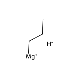 CC[CH2][Mg+].[H-]